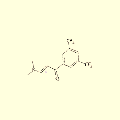 CN(C)/C=C/C(=O)c1cc(C(F)(F)F)cc(C(F)(F)F)c1